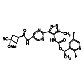 CO[C@]1(C#N)C[C@@H](C(=O)Nc2cnc(-c3nnn(C)c3NC(=O)O[C@H](C)c3cc(F)cnc3F)nc2)C1